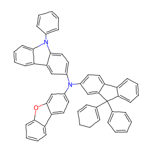 C1=CC(C2(c3ccccc3)c3ccccc3-c3ccc(N(c4ccc5c(c4)oc4ccccc45)c4ccc5c(c4)c4ccccc4n5-c4ccccc4)cc32)=CCC1